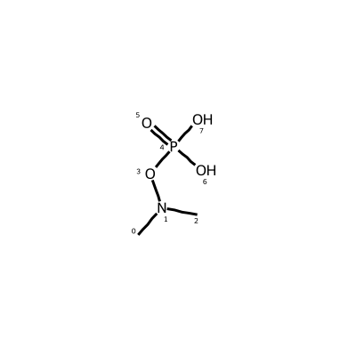 CN(C)OP(=O)(O)O